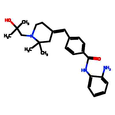 CC(C)(O)CN1CC/C(=C/c2ccc(C(=O)Nc3ccccc3N)cc2)CC1(C)C